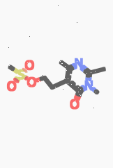 Cc1nc(C)n(C)c(=O)c1CCOS(C)(=O)=O